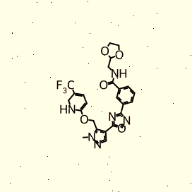 Cn1ncc(-c2nc(-c3cccc(C(=O)NCC4OCCO4)c3)no2)c1COC1=CC=C(C(F)(F)F)CN1